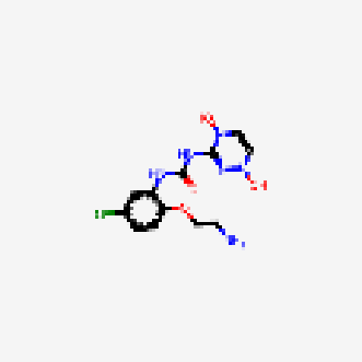 NCCOc1ccc(Cl)cc1NC(=O)NC1=NN(O)C=CN1O